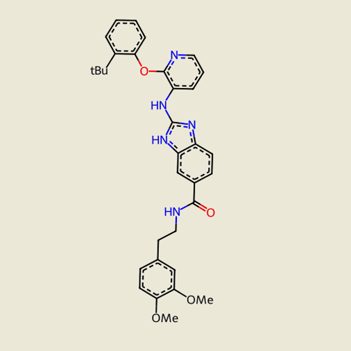 COc1ccc(CCNC(=O)c2ccc3nc(Nc4cccnc4Oc4ccccc4C(C)(C)C)[nH]c3c2)cc1OC